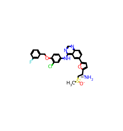 C[S+]([O-])C[C@@H](N)c1ccc(-c2ccc3ncnc(Nc4ccc(OCc5cccc(F)c5)c(Cl)c4)c3c2)o1